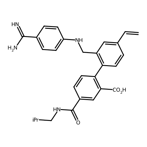 C=Cc1ccc(-c2ccc(C(=O)NCC(C)C)cc2C(=O)O)c(CNc2ccc(C(=N)N)cc2)c1